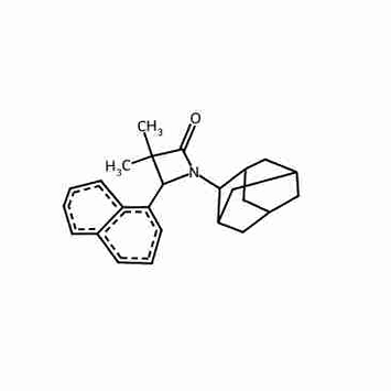 CC1(C)C(=O)N(C2C3CC4CC(C3)CC2C4)C1c1cccc2ccccc12